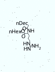 CCCCCCCCCCCC(=O)NC(CCCNC(=N)N)C(=O)OCCCCCC